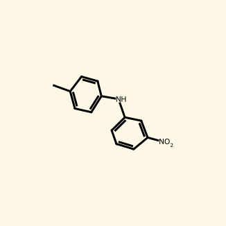 Cc1ccc(Nc2cccc([N+](=O)[O-])c2)cc1